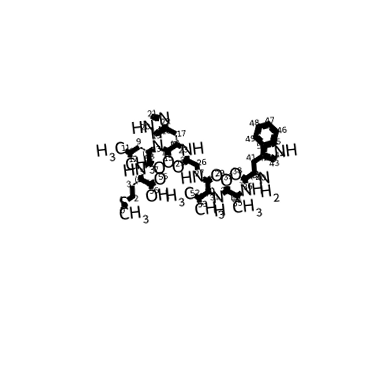 CSCC[C@H](NC(=O)[C@H](CC(C)C)NC(=O)[C@H](Cc1c[nH]cn1)NC(=O)CNC(=O)[C@@H](NC(=O)[C@H](C)NC(=O)[C@@H](N)Cc1c[nH]c2ccccc12)C(C)C)C(=O)O